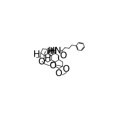 CC1OCCOC23CC4=C[C@@H](NC(=O)CCCc5ccccc5)[C@@H]5C(CC[C@]6(C)[C@@H]1CC[C@H]56)[C@@]4(C)CC2OCCO3